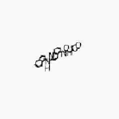 O=C(CC1CCOCC1)Nc1cccc2nc(N[C@@H]3CCc4ccccc43)ccc12